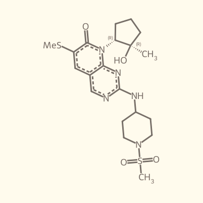 CSc1cc2cnc(NC3CCN(S(C)(=O)=O)CC3)nc2n([C@@H]2CCC[C@@]2(C)O)c1=O